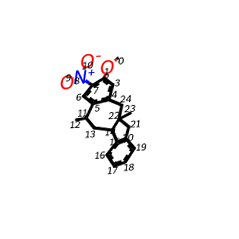 COc1cc2c(cc1[N+](=O)[O-])C(C)CC1c3ccccc3CC1(C)C2